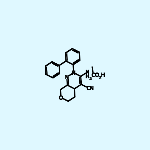 CC(=O)O.N#CC1=C(N)N(c2ccccc2-c2ccccc2)N=C2COCCC21